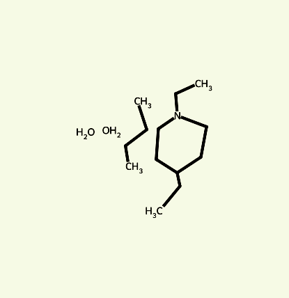 CCC1CCN(CC)CC1.CCCC.O.O